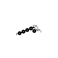 C=C(Sc1ccccc1N)c1ccc(-c2ccc(-c3ccc(-c4ccc(F)cc4)cc3)cc2)cc1